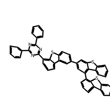 c1ccc(-c2nc(-c3ccccc3)nc(-c3cccc4c3sc3ccc(-c5cc(-c6cccc7c6sc6ccccc67)c6c(c5)sc5ccccc56)cc34)n2)cc1